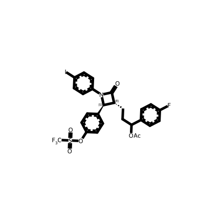 CC(=O)OC(CC[C@H]1C(=O)N(c2ccc(I)cc2)[C@@H]1c1ccc(OS(=O)(=O)C(F)(F)F)cc1)c1ccc(F)cc1